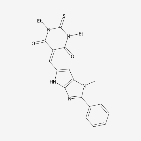 CCN1C(=O)C(=Cc2cc3c(nc(-c4ccccc4)n3C)[nH]2)C(=O)N(CC)C1=S